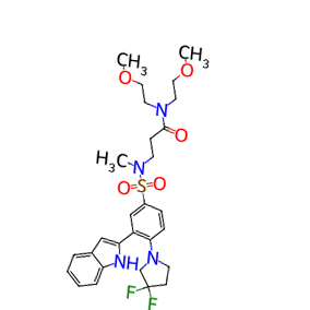 COCCN(CCOC)C(=O)CCN(C)S(=O)(=O)c1ccc(N2CCC(F)(F)C2)c(-c2cc3ccccc3[nH]2)c1